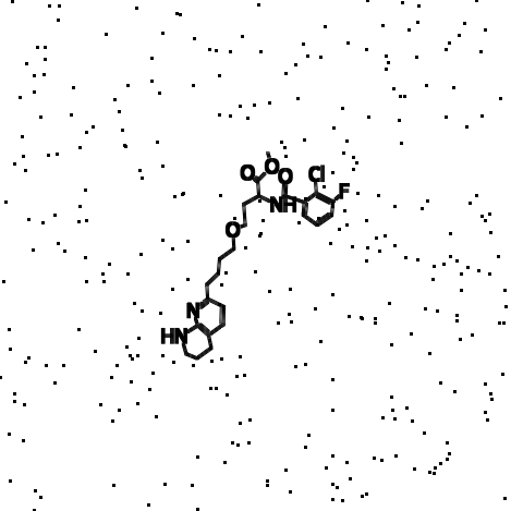 COC(=O)C(CCOCCCCc1ccc2c(n1)NCCC2)NC(=O)c1cccc(F)c1Cl